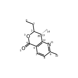 CCC1OC(=O)c2ccc(C)nc2[C@H]1C